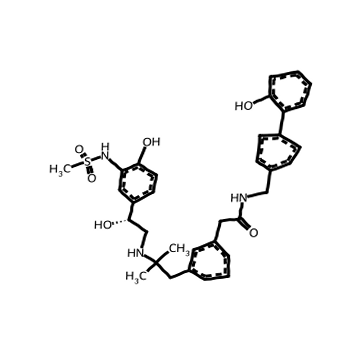 CC(C)(Cc1cccc(CC(=O)NCc2ccc(-c3ccccc3O)cc2)c1)NC[C@H](O)c1ccc(O)c(NS(C)(=O)=O)c1